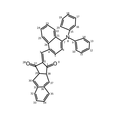 O=C1C(=Cc2ccc(N(c3ccccc3)c3ccccc3)c3ccccc23)C(=O)C2C=c3ccccc3=CC12